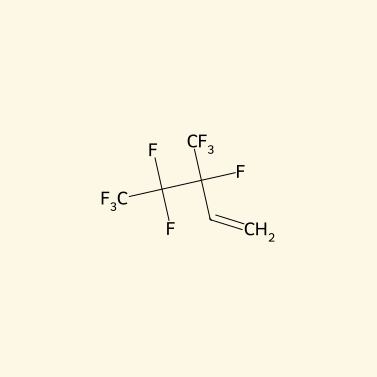 C=CC(F)(C(F)(F)F)C(F)(F)C(F)(F)F